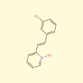 [O-][n+]1ccccc1C=Cc1cccc(Cl)c1